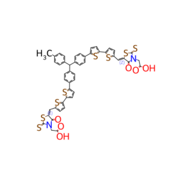 Cc1ccc(C(c2ccc(-c3ccc(-c4ccc(/C=C5\SC(=S)N(CC(=O)O)C5=O)s4)s3)cc2)c2ccc(-c3ccc(-c4ccc(/C=C5/SC(=S)N(CC(=O)O)C5=O)s4)s3)cc2)cc1